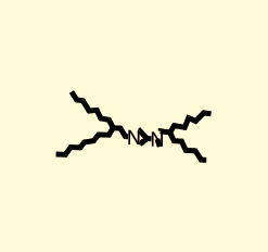 CCCCCCCCC(CCCCCCC)CCN1CC(N(C)CC(CCCCCC)CCCCCC)C1